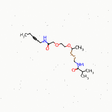 CCC#CCNC(=O)COCCOC(C)SSCNC(=O)C(C)C